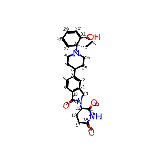 CC[C@]1(N2CCC(c3ccc4c(c3)CN(C3CCC(=O)NC3=O)C4=O)CC2)C=CC=CC1O